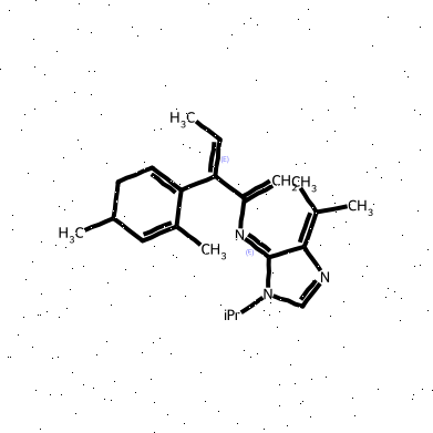 C=C(/N=C1\C(=C(C)C)N=CN1C(C)C)/C(=C/C)C1=CCC(C)C=C1C